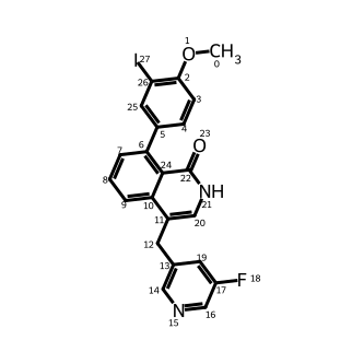 COc1ccc(-c2cccc3c(Cc4cncc(F)c4)c[nH]c(=O)c23)cc1I